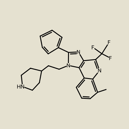 Cc1cccc2c1nc(C(F)(F)F)c1nc(-c3ccccc3)n(CCC3CCNCC3)c12